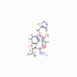 Cc1ncsc1COc1ccc2oc(C(F)F)c(C(N)=O)c2c1C1(C(N)=O)COC1